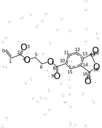 C=CC(=O)OCCOC(=O)c1ccc2c(c1)C(=O)OC2=O